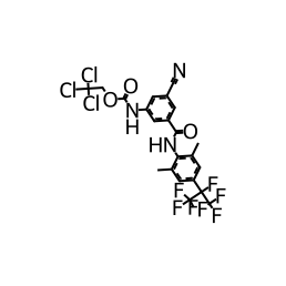 Cc1cc(C(F)(C(F)(F)F)C(F)(F)F)cc(C)c1NC(=O)c1cc(C#N)cc(NC(=O)OCC(Cl)(Cl)Cl)c1